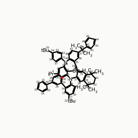 CC(C)c1cc2c3c(c1)N(c1ccc(C(C)(C)C)cc1-c1cccc(-c4ccccc4)c1)c1cc4c(cc1C(B3)c1cc(C(C)(C)c3ccccc3)ccc1N2c1ccc(C(C)(C)C)cc1)C(C)(C)CCC4(C)C